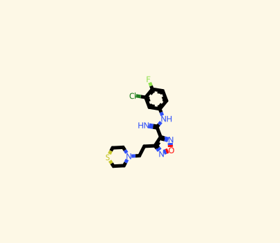 N=C(Nc1ccc(F)c(Cl)c1)c1nonc1CCN1CCSCC1